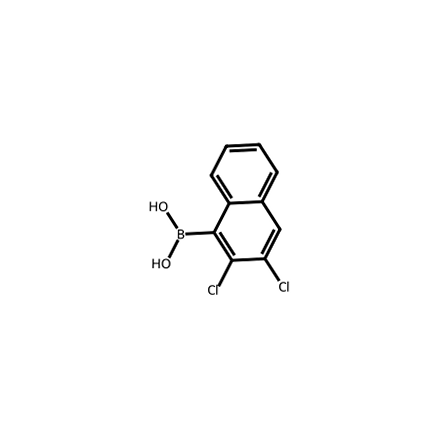 OB(O)c1c(Cl)c(Cl)cc2ccccc12